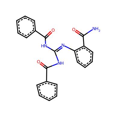 NC(=O)c1ccccc1N=C(NC(=O)c1ccccc1)NC(=O)c1ccccc1